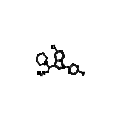 NCC(c1cn(-c2ccc(F)cc2)c2ccc(Cl)cc12)N1CCCCC1